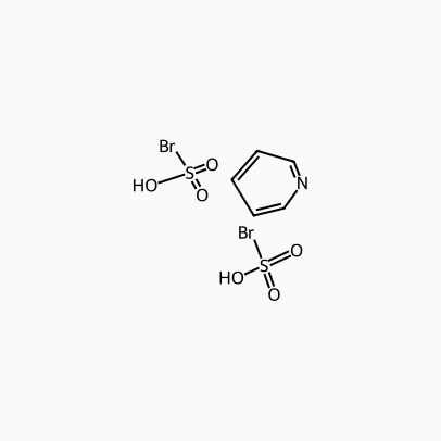 O=S(=O)(O)Br.O=S(=O)(O)Br.c1ccncc1